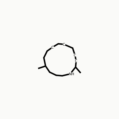 CC1CCCCCCCCC(C)NCCC1